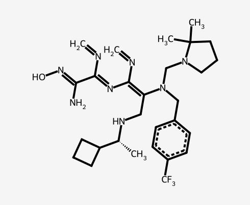 C=NC(=N\C(N=C)=C(/CN[C@H](C)C1CCC1)N(Cc1ccc(C(F)(F)F)cc1)CN1CCCC1(C)C)/C(N)=N/O